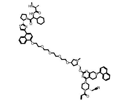 C=CC(=O)N1CCN(c2nc(OC[C@@H]3C[C@@H](OCCOCCOCCOCCOc4ccc(-c5csc([C@@H]6CCCN6C(=O)C(NC(=O)[C@H](C)NC)C6CCCCC6)n5)c5ccccc45)CN3C)nc3c2CCN(c2cccc4ccccc24)C3)C[C@@H]1CC#N